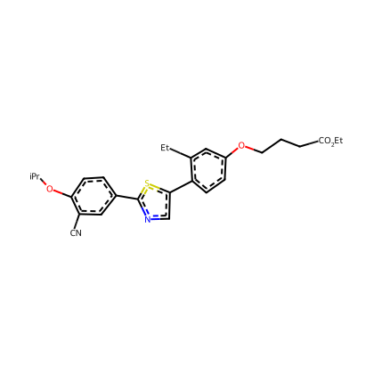 CCOC(=O)CCCOc1ccc(-c2cnc(-c3ccc(OC(C)C)c(C#N)c3)s2)c(CC)c1